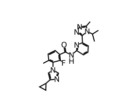 Cc1ccc(C(=O)Nc2cccc(-c3nnc(C)n3C(C)C)n2)c(F)c1-n1cnc(C2CC2)c1